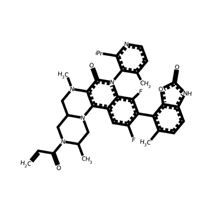 C=CC(=O)N1CC2CN(C)c3c(c4cc(F)c(-c5c(C)ccc6[nH]c(=O)oc56)c(F)c4n(-c4c(C)ccnc4C(C)C)c3=O)N2CC1C